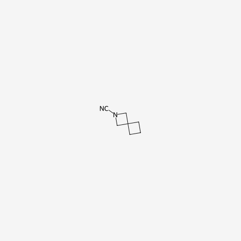 N#CN1CC2(CCC2)C1